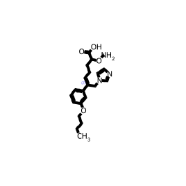 CCCCOc1cccc(/C(=C/CCC(ON)C(=O)O)Cn2ccnc2)c1